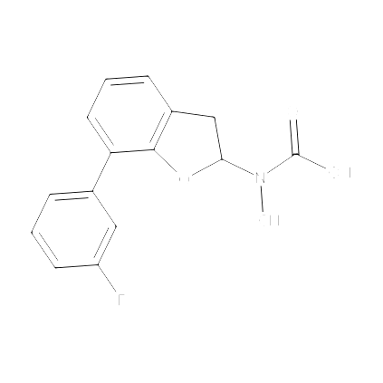 CN(C(=O)O)C1Cc2cccc(-c3cccc(F)c3)c2O1